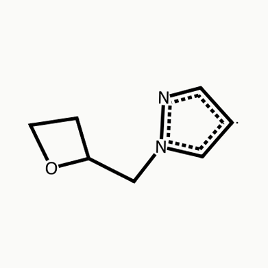 [c]1cnn(CC2CCO2)c1